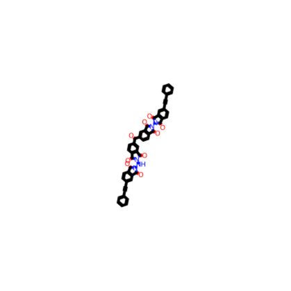 O=C(c1ccc2c(c1)C(=O)N(NN1C(=O)c3ccc(C#Cc4ccccc4)cc3C1=O)C2=O)c1ccc2c(c1)C(=O)N(N1C(=O)c3ccc(C#Cc4ccccc4)cc3C1=O)C2=O